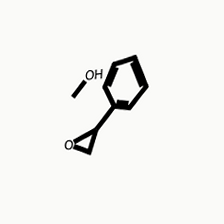 CO.c1ccc(C2CO2)cc1